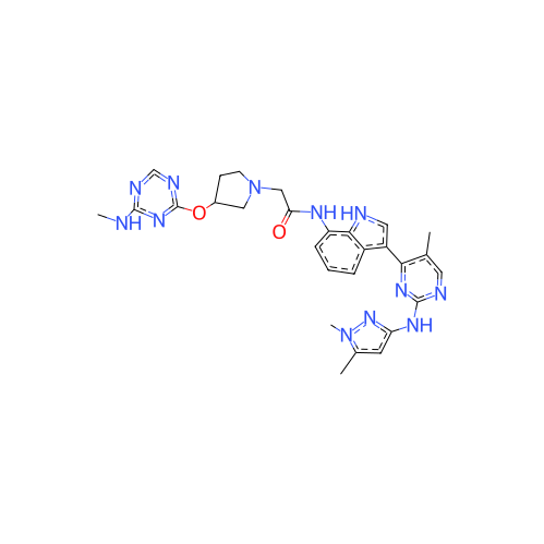 CNc1ncnc(OC2CCN(CC(=O)Nc3cccc4c(-c5nc(Nc6cc(C)n(C)n6)ncc5C)c[nH]c34)C2)n1